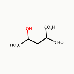 O=CC(CC(O)C(=O)O)C(=O)O